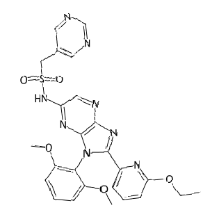 CCOc1cccc(-c2nc3ncc(NS(=O)(=O)Cc4cncnc4)nc3n2-c2c(OC)cccc2OC)n1